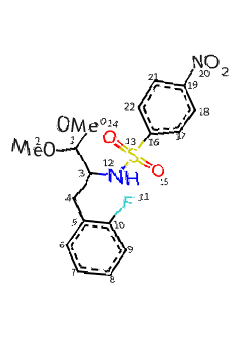 COC(OC)C(Cc1ccccc1F)NS(=O)(=O)c1ccc([N+](=O)[O-])cc1